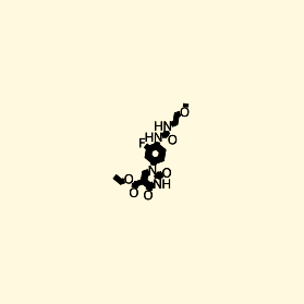 CCOC(=O)c1cn(-c2ccc(NC(=O)NCCOC)c(F)c2)c(=O)[nH]c1=O